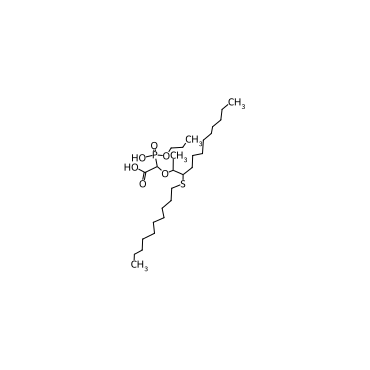 CCCCCCCCCCSC(CCCCCCCCC)C(C)OC(C(=O)O)P(=O)(O)OCCC